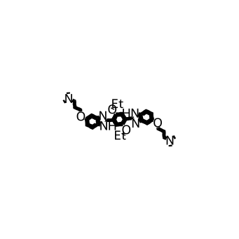 CCOc1cc(-c2nc3cc(OCCCN(C)C)ccc3[nH]2)c(OCC)cc1-c1nc2cc(OCCCN(C)C)ccc2[nH]1